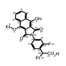 CCOc1c2c(c(O)c3ccccc13)C(=O)N(c1ccc(C(CC)C(=O)O)c(F)c1)C2=O